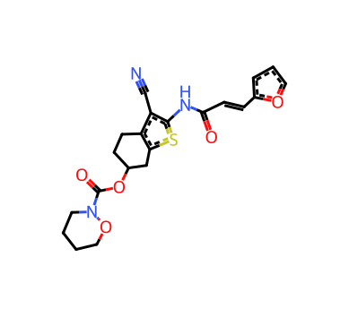 N#Cc1c(NC(=O)C=Cc2ccco2)sc2c1CCC(OC(=O)N1CCCCO1)C2